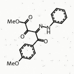 COC(=O)C(=O)/C(=N/Nc1ccccc1)C(=O)c1ccc(OC)cc1